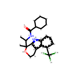 CC(NC(=O)C1CCCCC1)C1(C)OCCc2c1[nH]c1cccc(C(F)(F)F)c21